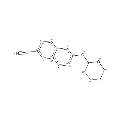 N#Cc1ccc2cc(OC3CCCCO3)ccc2c1